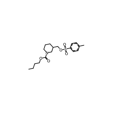 CCCCOC(=O)N1CCCC(COS(=O)(=O)c2ccc(C)cc2)C1